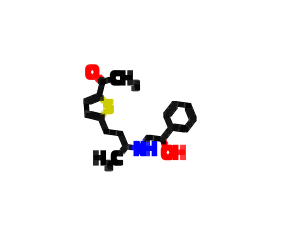 CC(=O)c1ccc(CCC(C)NC[C@H](O)c2ccccc2)s1